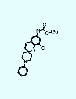 CC(C)(C)OC(=O)Nc1cc(Cl)c2c(c1)C=CC1(CCN(c3ccccc3)CC1)O2